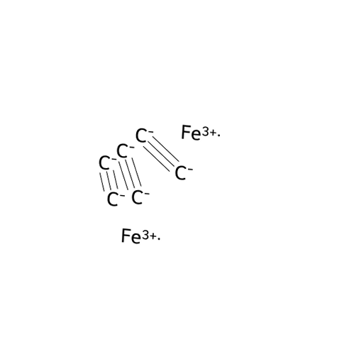 [C-]#[C-].[C-]#[C-].[C-]#[C-].[Fe+3].[Fe+3]